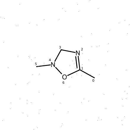 CC1=NCN(C)O1